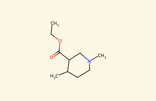 CCOC(=O)C1CN(C)CCC1C